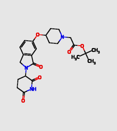 CC(C)(C)OC(=O)CN1CCC(Oc2ccc3c(c2)C(=O)N(C2CCC(=O)NC2=O)C3)CC1